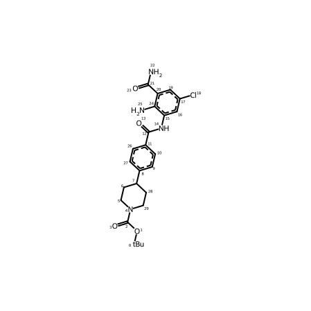 CC(C)(C)OC(=O)N1CCC(c2ccc(C(=O)Nc3cc(Cl)cc(C(N)=O)c3N)cc2)CC1